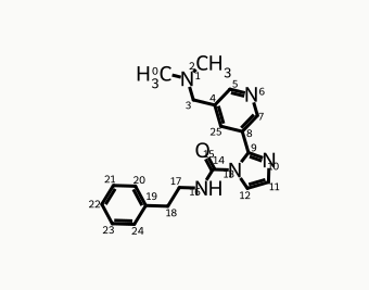 CN(C)Cc1cncc(-c2nccn2C(=O)NCCc2ccccc2)c1